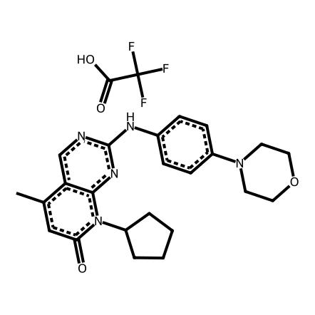 Cc1cc(=O)n(C2CCCC2)c2nc(Nc3ccc(N4CCOCC4)cc3)ncc12.O=C(O)C(F)(F)F